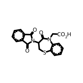 O=C(O)CN1C(=O)C(N2C(=O)c3ccccc3C2=O)CSc2ccccc21